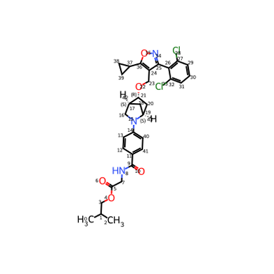 CC(C)COC(=O)CNC(=O)c1ccc(N2C[C@@H]3C[C@H]2C[C@H]3OCc2c(-c3c(Cl)cccc3Cl)noc2C2CC2)cc1